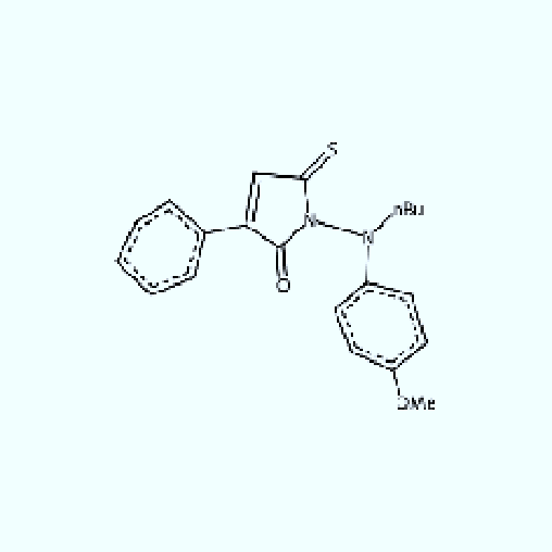 CCCCN(c1ccc(OC)cc1)N1C(=O)C(c2ccccc2)=CC1=S